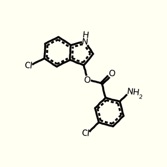 Nc1ccc(Cl)cc1C(=O)Oc1c[nH]c2ccc(Cl)cc12